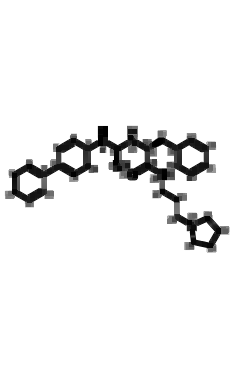 N=C(Nc1ccc(-c2ccccc2)cc1)N[C@@H](Cc1ccccc1)C(=O)NCCCN1CCCC1